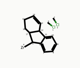 CCl.CCl.[Zr][CH]1c2ccccc2C2C=CCCC12